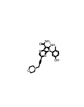 Cc1ccc(O)cc1-n1c(N)c(C(N)=O)c2ncc(C#CCN3CCOCC3)nc21